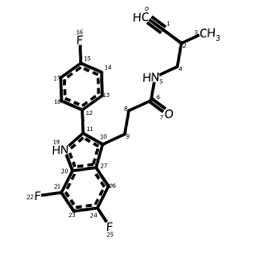 C#CC(C)CNC(=O)CCc1c(-c2ccc(F)cc2)[nH]c2c(F)cc(F)cc12